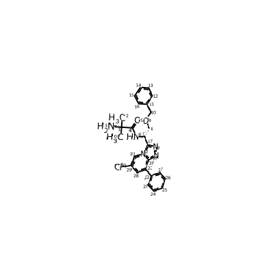 CC(C)(N)C(=O)N[C@H](COCc1ccccc1)c1nnc2c(-c3ccccc3)cc(Cl)cn12